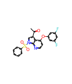 CC(=O)c1cn(S(=O)(=O)c2ccccc2)c2nccc(Oc3cc(F)cc(F)c3)c12